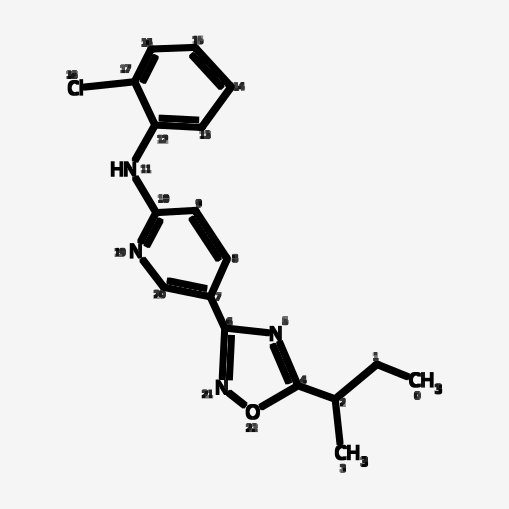 CCC(C)c1nc(-c2ccc(Nc3ccccc3Cl)nc2)no1